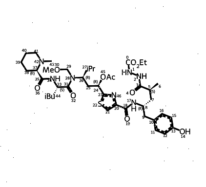 CCOC(=O)NNC(=O)[C@@H](C)C[C@H](Cc1ccc(O)cc1)NC(=O)c1csc([C@@H](C[C@H](C(C)C)N(COC)C(=O)[C@@H](NC(=O)[C@H]2CCCCN2C)C(C)CC)OC(C)=O)n1